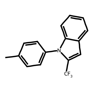 Cc1ccc(-n2c(C(F)(F)F)cc3ccccc32)cc1